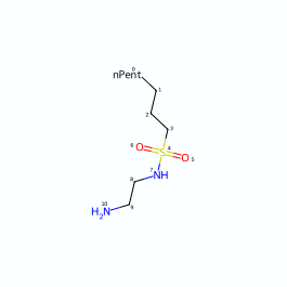 CCCCCCCCS(=O)(=O)NCCN